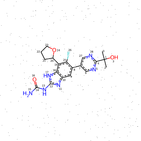 CC(C)(O)c1ncc(-c2cc3nc(NC(N)=O)[nH]c3c(C3CCCO3)c2F)cn1